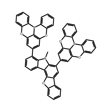 Cn1c2c(-c3cc4c5c(c3)Oc3ccccc3B5c3ccccc3O4)cccc2c2c3oc4ccccc4c3cc(-c3cc4c5c(c3)Oc3ccccc3B5c3ccccc3O4)c21